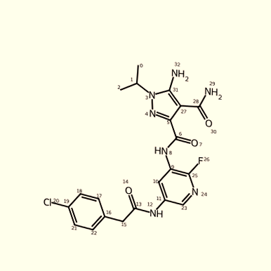 CC(C)n1nc(C(=O)Nc2cc(NC(=O)Cc3ccc(Cl)cc3)cnc2F)c(C(N)=O)c1N